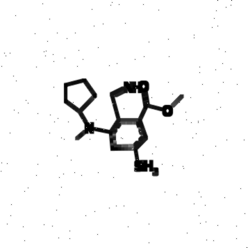 COC(=O)c1cc([SiH3])cc(N(C)C2CCCC2)c1C=N